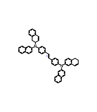 C1=Cc2cc(N(c3ccc(/C=C/c4ccc(N(c5ccc6ccccc6c5)C5C=Cc6ccccc6C5)cc4)cc3)c3ccc4ccccc4c3)ccc2CC1